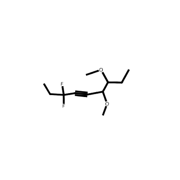 CCC(OC)C(C#CC(F)(F)CC)OC